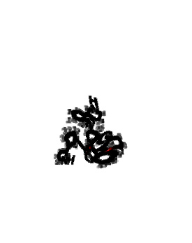 C1=CCC2C(=C1)OC1=C(CCC(n3c4c(c5ccccc53)CNCC4)=C1)C21C2=C(CC(c3cccc(C4=CC=CNC4)c3)CC2)Oc2ccccc21